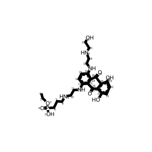 CCOP(=O)(O)CCCNCCNc1ccc(NCCNCCO)c2c1C(=O)c1c(O)ccc(O)c1C2=O